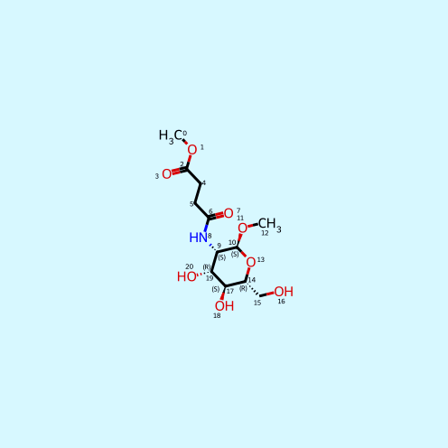 COC(=O)CCC(=O)N[C@@H]1[C@@H](OC)O[C@H](CO)[C@@H](O)[C@@H]1O